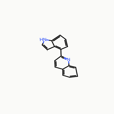 [c]1c[nH]c2cccc(-c3ccc4ccccc4n3)c12